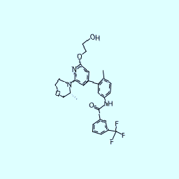 Cc1ccc(NC(=O)c2cccc(C(F)(F)F)c2)cc1-c1cc(OCCO)nc(N2CCOC[C@H]2C)c1